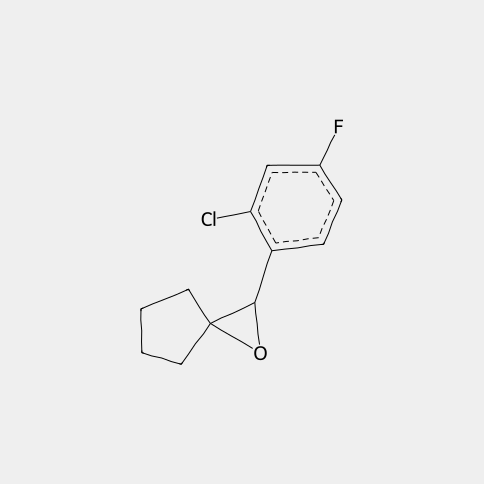 Fc1ccc(C2OC23CCCC3)c(Cl)c1